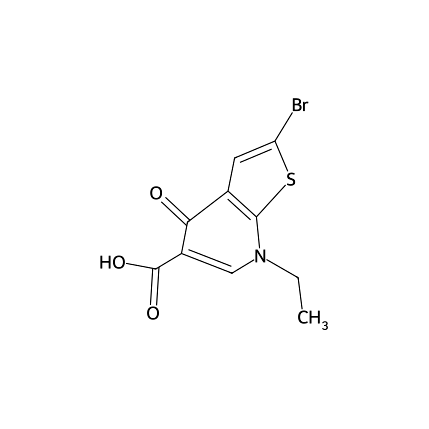 CCn1cc(C(=O)O)c(=O)c2cc(Br)sc21